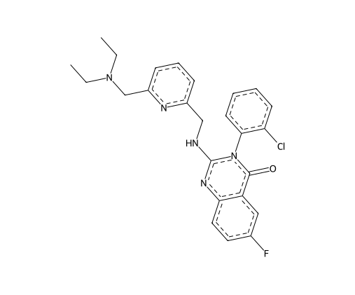 CCN(CC)Cc1cccc(CNc2nc3ccc(F)cc3c(=O)n2-c2ccccc2Cl)n1